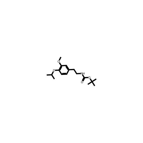 COc1cc(CCNC(=O)OC(C)(C)C)ccc1OC(C)C